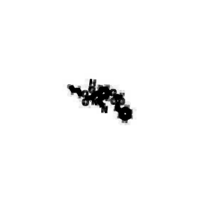 CCCCOC(=O)c1nc(C#N)c2cc(OC3=COC(Cc4ccccc4)O3)ccc2c1O